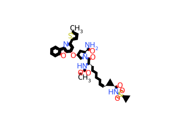 COC(=O)N[C@@H](CCCCC/C=C\[C@@H]1C[C@@H]1C(=O)NS(=O)(=O)C1CC1)C(=O)N1C[C@H](Oc2cc(-c3ccc(C)s3)nc3c2oc2ccccc23)C[C@H]1C(N)=O